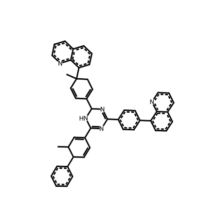 CC1C=C(C2=NC(c3ccc(-c4cccc5cccnc45)cc3)=NC(C3=CCC(C)(c4cccc5cccnc45)C=C3)N2)C=CC1c1ccccc1